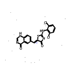 O=C1N=C(Nc2c(Cl)cccc2Cl)S/C1=C\c1ccc2[nH]cnc(=O)c2c1